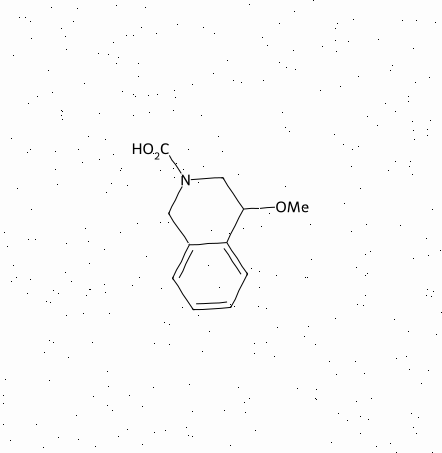 COC1CN(C(=O)O)Cc2ccccc21